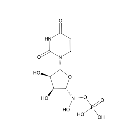 O=c1ccn([C@@H]2O[C@H](N(O)OP(=O)(O)O)[C@@H](O)[C@H]2O)c(=O)[nH]1